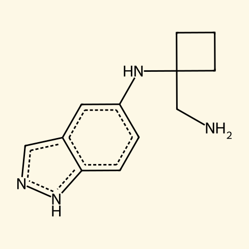 NCC1(Nc2ccc3[nH]ncc3c2)CCC1